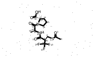 CC(=O)SC[C@H](C(=O)N[C@@H](C)C(=O)N1CCC[C@H]1C(=O)O)C(F)(F)F